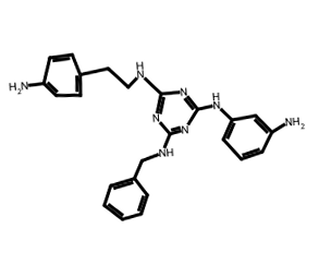 Nc1ccc(CCNc2nc(NCc3ccccc3)nc(Nc3cccc(N)c3)n2)cc1